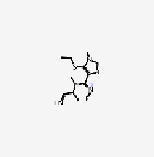 CCSc1c(/C(=N/F)N(C)C(C)C=N)ncn1C